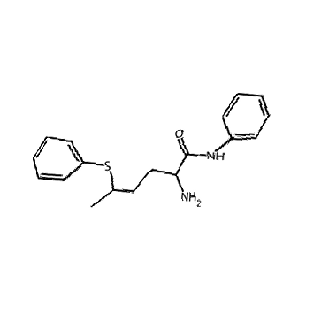 CC(CCC(N)C(=O)Nc1ccccc1)Sc1ccccc1